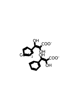 O=C([O-])C(O)=C(O)c1ccccc1.O=C([O-])C(O)=C(O)c1ccccc1.[GeH2+2]